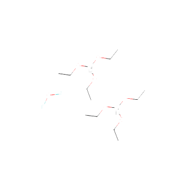 CCO[SiH](OCC)OCC.CCO[SiH](OCC)OCC.FOF